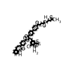 CN(C)CCCOC(=O)CCC(=O)N1CCN(C2CCN(C(=O)[C@@H](Cc3cc(Cl)c(N)c(C(F)(F)F)c3)OC(=O)N3CCC(N4CCc5ccccc5NC4=O)CC3)CC2)CC1